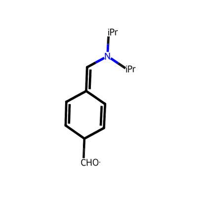 CC(C)N(C=C1C=CC([C]=O)C=C1)C(C)C